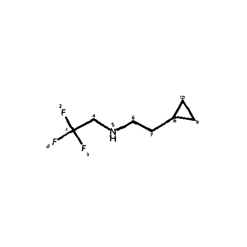 FC(F)(F)CNCCC1CC1